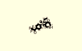 O=C(c1ccc(S(=O)(=O)N2CCOC23CCNCC3)cc1)C(F)(F)F